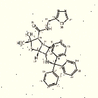 CC1(C)S[C@H]2C(NC(c3ccccc3)(c3ccccc3)c3ccccc3)C(=O)N2C1C(=O)NCc1ccco1